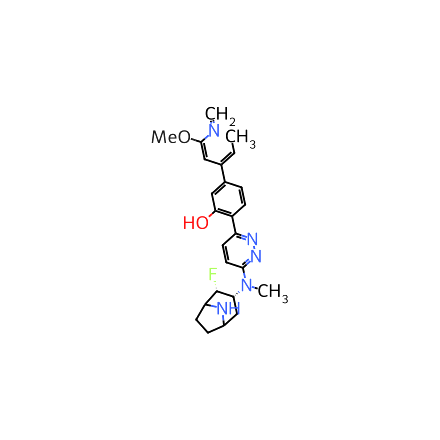 C=N/C(=C\C(=C/C)c1ccc(-c2ccc(N(C)[C@@H]3CC4CCC(N4)[C@@H]3F)nn2)c(O)c1)OC